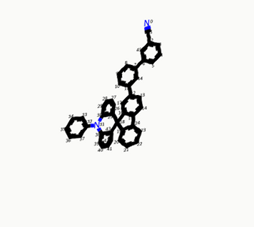 N#Cc1cccc(-c2cccc(-c3ccc4c(c3)C3(c5ccccc5-4)c4ccccc4N(c4ccccc4)c4ccccc43)c2)c1